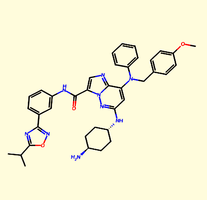 COc1ccc(CN(c2ccccc2)c2cc(N[C@H]3CC[C@H](N)CC3)nn3c(C(=O)Nc4cccc(-c5noc(C(C)C)n5)c4)cnc23)cc1